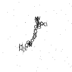 CCC(C)n1ncn(-c2ccc(N3CCN(c4ccc(OC[C@H]5CO[C@](CC6N=CN=N6)(c6ccc(Cl)cc6Cl)O5)cc4)CC3)cc2)c1=O